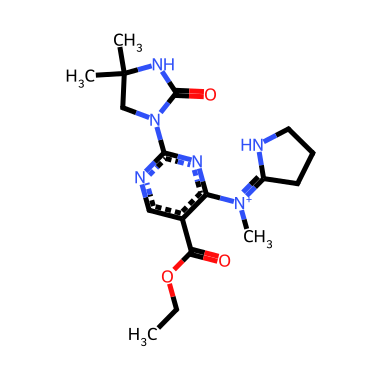 CCOC(=O)c1cnc(N2CC(C)(C)NC2=O)nc1[N+](C)=C1CCCN1